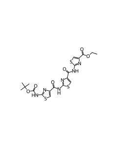 CCOC(=O)c1csc(NC(=O)c2csc(NC(=O)c3csc(NC(=O)OC(C)(C)C)n3)n2)n1